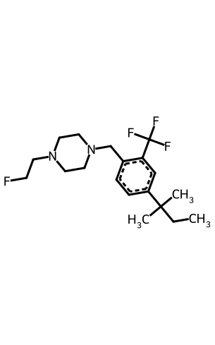 CCC(C)(C)c1ccc(CN2CCN(CCF)CC2)c(C(F)(F)F)c1